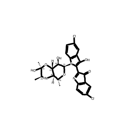 C[C@@H]1N[C@H]2[C@H](O[C@]1(C)O)[C@@H](O)[C@@H](n1c(C3=Nc4ccc(Cl)cc4C3=O)c(O)c3cc(Cl)ccc31)O[C@@H]2C